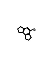 Brc1cc2c(c3c1CCC3)CCC2